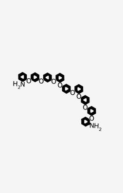 Nc1ccccc1Oc1cccc(Oc2cccc(Oc3ccccc3Oc3ccc(Oc4ccccc4Oc4cccc(Oc5cccc(Oc6ccccc6N)c5)c4)cc3)c2)c1